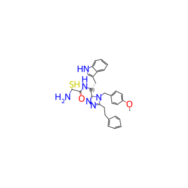 COc1ccc(Cn2c(CCc3ccccc3)nnc2[C@@H](Cc2c[nH]c3ccccc23)NC(=O)C(N)S)cc1